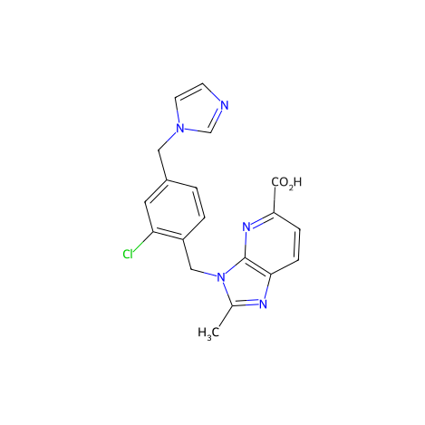 Cc1nc2ccc(C(=O)O)nc2n1Cc1ccc(Cn2ccnc2)cc1Cl